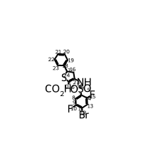 O=C(O)C1=C(NS(=O)(=O)c2cc(F)c(Br)cc2F)CC(c2ccccc2)S1